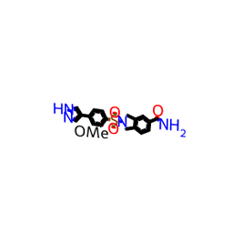 COc1cc(-c2cn[nH]c2)ccc1S(=O)(=O)N1Cc2ccc(C(N)=O)cc2C1